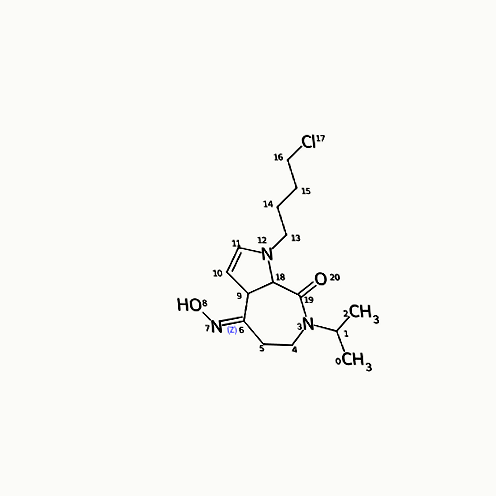 CC(C)N1CC/C(=N/O)C2C=CN(CCCCCl)C2C1=O